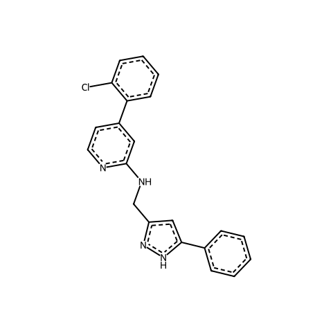 Clc1ccccc1-c1ccnc(NCc2cc(-c3ccccc3)[nH]n2)c1